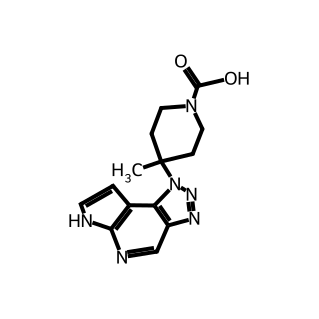 CC1(n2nnc3cnc4[nH]ccc4c32)CCN(C(=O)O)CC1